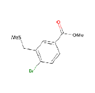 COC(=O)c1ccc(Br)c(CSC)c1